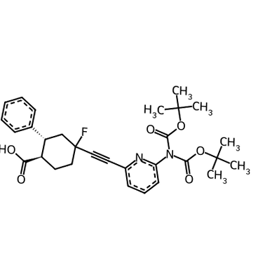 CC(C)(C)OC(=O)N(C(=O)OC(C)(C)C)c1cccc(C#CC2(F)CC[C@@H](C(=O)O)[C@H](c3ccccc3)C2)n1